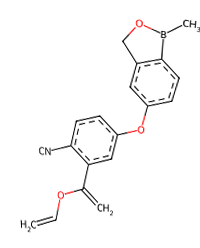 [C-]#[N+]c1ccc(Oc2ccc3c(c2)COB3C)cc1C(=C)OC=C